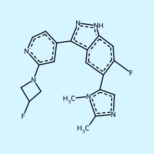 Cc1ncc(-c2cc3c(-c4ccnc(N5CC(F)C5)c4)n[nH]c3cc2F)n1C